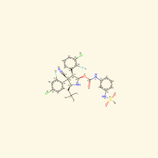 CC(C)(C)C[C@@H]1N[C@H](OC(=O)Nc2cccc(NS(C)(=O)=O)c2)[C@H](c2cccc(Cl)c2F)[C@@]1(C#N)c1ccc(Cl)cc1F